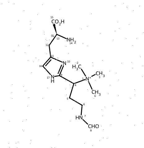 C[N+](C)(C)C(CCNC=O)c1nc(C[C@H](N)C(=O)O)c[nH]1